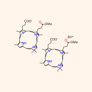 COC(=O)CCc1c(C)c2[nH]c1=CC1=NC(=Cc3[nH]c(cc3C)C=C3NC(=CC3(C)I)C=2)C(C)=C1CCC(=O)[O-].COC(=O)CCc1c(C)c2[nH]c1=CC1=NC(=Cc3[nH]c(cc3C)C=C3NC(=CC3(C)I)C=2)C(C)=C1CCC(=O)[O-].[Zn+2]